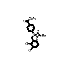 CCCCS(=O)(=O)N(Cc1cccc(Cl)c1Cl)c1ccc(C(=O)OC)cc1